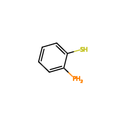 Pc1ccccc1S